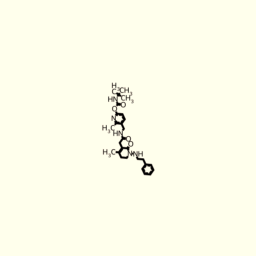 CC1=C(CC(=O)NCc2ccc(OC(=O)NC(C)(C)C)nc2C)C(=O)N(NCCc2ccccc2)CC1